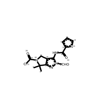 CC1(C)c2nn(C=O)c(NC(=O)c3cccs3)c2CN1C(=O)Cl